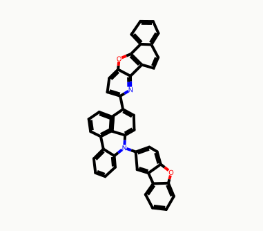 c1ccc(-c2ccccc2N(c2ccc(-c3ccc4oc5c6ccccc6ccc5c4n3)cc2)c2ccc3oc4ccccc4c3c2)cc1